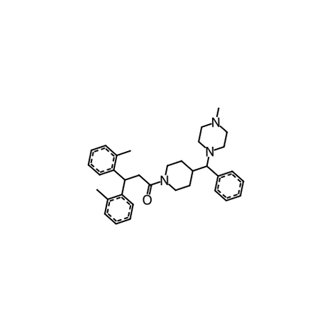 Cc1ccccc1C(CC(=O)N1CCC(C(c2ccccc2)N2CCN(C)CC2)CC1)c1ccccc1C